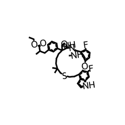 CCOC(=O)C(C)Cc1cccc(C2(C=O)CCCC(C)(C)CSCCc3c(c(F)cc4[nH]ccc34)Oc3ccc(F)c(c3)/C(NC)=N/C2=N)c1